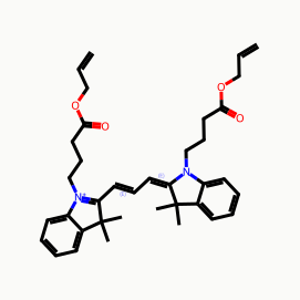 C=CCOC(=O)CCCN1/C(=C/C=C/C2=[N+](CCCC(=O)OCC=C)c3ccccc3C2(C)C)C(C)(C)c2ccccc21